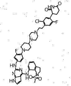 CS(=O)(=O)N1CCc2cccc(Nc3nc(Nc4ccc(N5CCC(N6CCN(CCc7cc(F)c(C8CCC(=O)NC8=O)cc7Cl)CC6)CC5)c(F)c4)nc4[nH]ccc34)c21